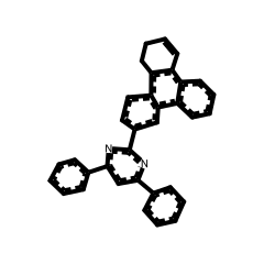 C1=Cc2c(c3ccc(-c4nc(-c5ccccc5)cc(-c5ccccc5)n4)cc3c3ccccc23)CC1